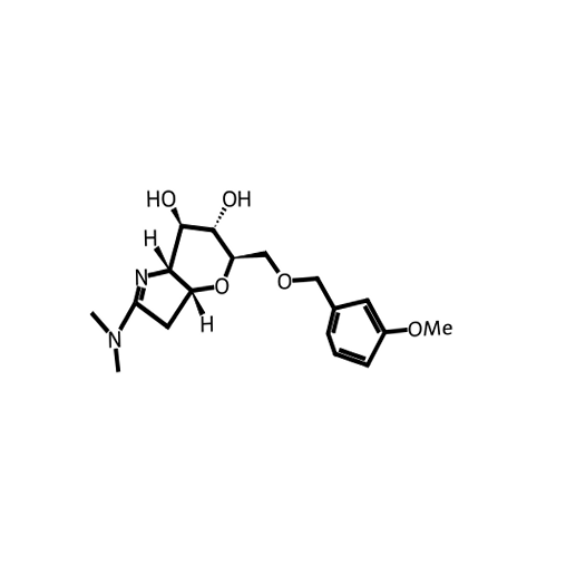 COc1cccc(COC[C@H]2O[C@@H]3CC(N(C)C)=N[C@@H]3[C@@H](O)[C@@H]2O)c1